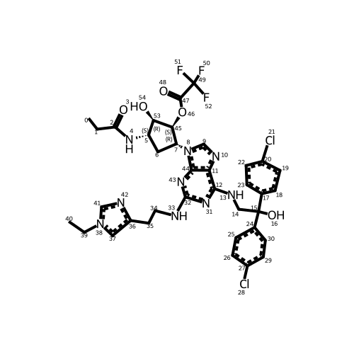 CCC(=O)N[C@H]1C[C@@H](n2cnc3c(NCC(O)(c4ccc(Cl)cc4)c4ccc(Cl)cc4)nc(NCCc4cn(CC)cn4)nc32)[C@H](OC(=O)C(F)(F)F)[C@@H]1O